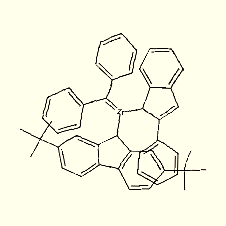 CC(C)(C)c1ccc2c(c1)[CH]([Zr](=[C](c1ccccc1)c1ccccc1)[CH]1C(c3ccccc3)=Cc3ccccc31)c1cc(C(C)(C)C)ccc1-2